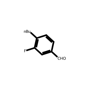 CCCCc1ccc(C=O)cc1F